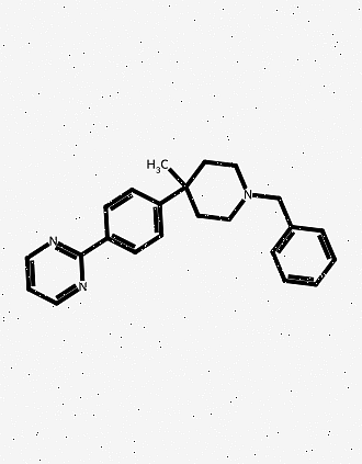 CC1(c2ccc(-c3ncccn3)cc2)CCN(Cc2ccccc2)CC1